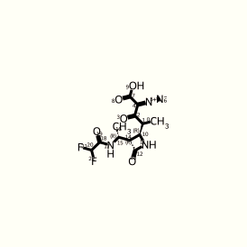 CC(C(=O)C(=[N+]=[N-])C(=O)O)[C@H]1NC(=O)[C@@H]1[C@@H](C)NC(=O)C(F)F